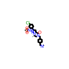 C/N=C\c1ccc(CN2C[C@H](C)n3nc(-c4ccc(Cl)cc4NS(C)(=O)=O)cc3C2=O)cc1